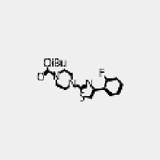 CC(C)COC(=O)N1CCN(c2nc(-c3ccccc3F)cs2)CC1